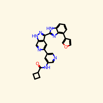 O=C(Nc1cncc(-c2cc3c(-c4nc5c(-c6ccoc6)cccc5[nH]4)n[nH]c3cn2)c1)C1CCC1